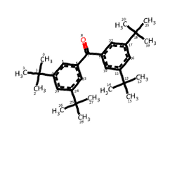 CC(C)(C)c1cc(C(=O)c2cc(C(C)(C)C)cc(C(C)(C)C)c2)cc(C(C)(C)C)c1